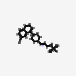 CS(=O)(=O)OC/C=C/C1CCN(c2nccc3ccc(F)cc23)CC1